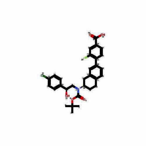 CC(C)(C)OC(=O)N(C[C@@H](O)c1ccc(Cl)cc1)[C@H]1CCc2ccc(-c3ccc(C(=O)O)cc3F)cc2C1